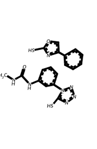 CNC(=O)Nc1cccc(-n2nnnc2S)c1.Sc1nc(-c2ccccc2)co1